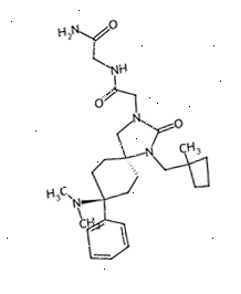 CN(C)[C@]1(c2ccccc2)CC[C@]2(CC1)CN(CC(=O)NCC(N)=O)C(=O)N2CC1(C)CCC1